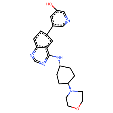 Oc1cncc(-c2ccc3ncnc(N[C@H]4CC[C@H](N5CCOCC5)CC4)c3c2)c1